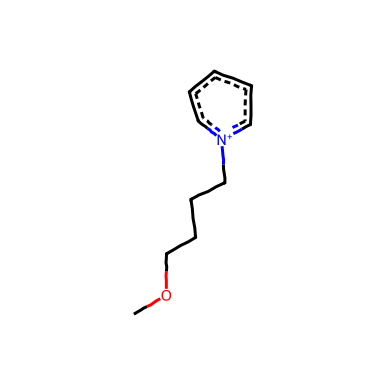 COCCCC[n+]1ccccc1